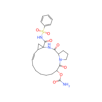 NC(=O)OC1CCCCC/C=C\C2CC2(C(=O)NS(=O)(=O)c2ccccc2)NC(=O)C2CCCN2C1=O